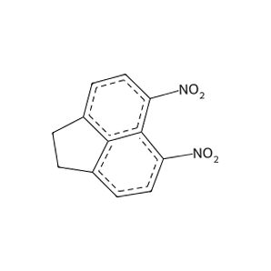 O=[N+]([O-])c1ccc2c3c(ccc([N+](=O)[O-])c13)CC2